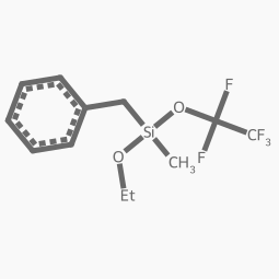 CCO[Si](C)(Cc1ccccc1)OC(F)(F)C(F)(F)F